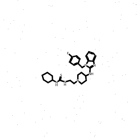 Fc1ccc(Cn2c(NC3CCN(CCNC(=S)NC4CCCCC4)CC3)nc3ccccc32)cc1